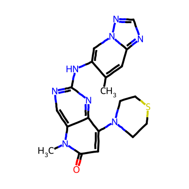 Cc1cc2ncnn2cc1Nc1ncc2c(n1)c(N1CCSCC1)cc(=O)n2C